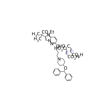 CCOC(=O)C(C)(C)c1cn2nc(OCCCN3CCC(OC(c4ccccc4)c4ccccc4)CC3)ccc2n1.O=C(O)/C=C/C(=O)O.O=C(O)/C=C/C(=O)O